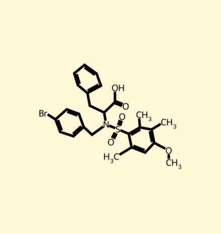 COc1cc(C)c(S(=O)(=O)N(Cc2ccc(Br)cc2)C(Cc2ccccc2)C(=O)O)c(C)c1C